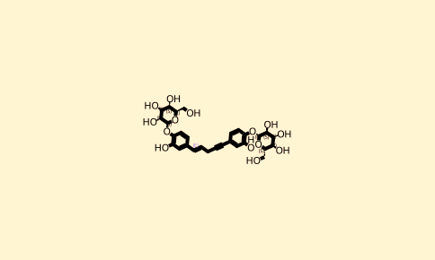 OC[C@@H]1O[C@H](Oc2ccc(C#CC/C=C/c3ccc(O[C@@H]4O[C@H](CO)[C@@H](O)[C@H](O)[C@H]4O)c(O)c3)cc2O)[C@@H](O)[C@H](O)[C@H]1O